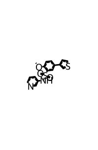 COc1ccc(-c2ccsc2)cc1S(=O)(=O)Nc1cccnc1